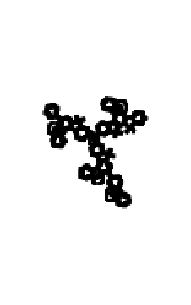 CC1(C)c2cc(N(c3ccc4c(c3)C(C)(C)c3cc(-c5ccc6c(c5)oc5ccccc56)c5oc6ccccc6c5c3-4)c3ccc4c(c3)C(C)(C)c3c5c(c6oc7ccccc7c6c3-4)-c3ccccc3C5(C)C)ccc2-c2c1cc(-c1ccccc1)c1oc3ccccc3c21